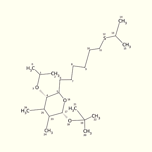 CC(C)O[C@@H]1C(CCCCCCSC(C)C)O[C@H](OC(C)(C)C)C(C)C1C